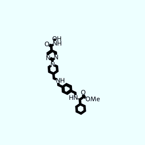 COC(=O)[C@@H](NCc1ccc(CNCC2CCN(c3ncc(C(=O)NO)cn3)CC2)cc1)C1CCCCC1